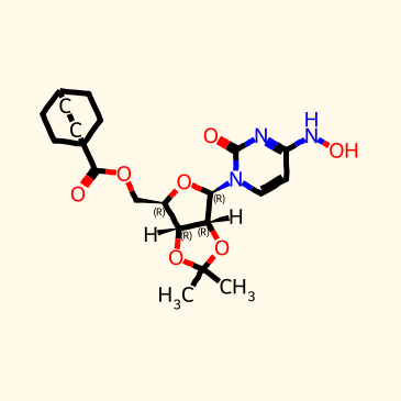 CC1(C)O[C@@H]2[C@H](O1)[C@@H](COC(=O)C13CCC(CC1)CC3)O[C@H]2n1ccc(NO)nc1=O